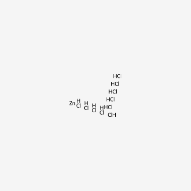 Cl.Cl.Cl.Cl.Cl.Cl.Cl.Cl.Cl.Cl.[Zn]